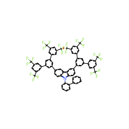 FC(F)(F)c1cc(-c2cc(-c3cc(C(F)(F)F)cc(C(F)(F)F)c3)cc(-c3ccc4c(c3)c3cc(-c5cc(-c6cc(C(F)(F)F)cc(C(F)(F)F)c6)cc(-c6cc(C(F)(F)F)cc(C(F)(F)F)c6)c5)ccc3n4-c3ccccc3-c3ccccc3)c2)cc(C(F)(F)F)c1